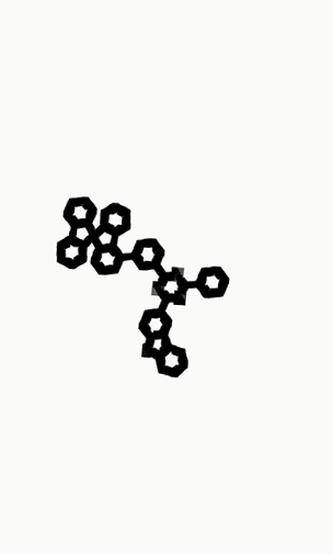 c1ccc(-c2nc(-c3cccc(-c4cccc5c4-c4ccccc4C54c5ccccc5-c5ccccc54)c3)nc(-c3ccc4sc5ccccc5c4c3)n2)cc1